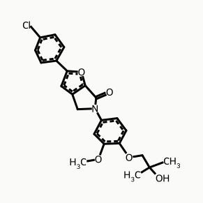 COc1cc(N2Cc3cc(-c4ccc(Cl)cc4)oc3C2=O)ccc1OCC(C)(C)O